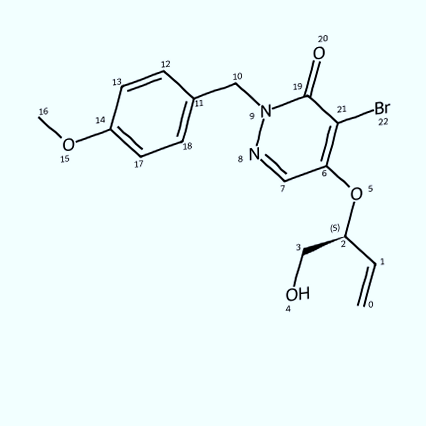 C=C[C@@H](CO)Oc1cnn(Cc2ccc(OC)cc2)c(=O)c1Br